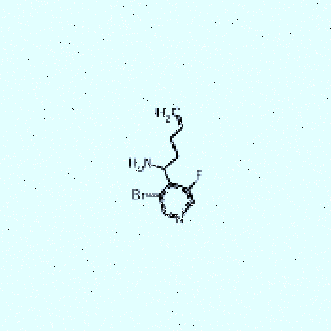 C=CCCC(N)c1c(F)cncc1Br